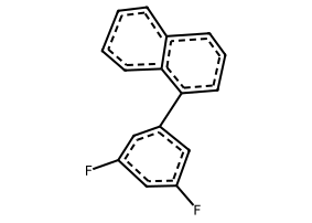 Fc1cc(F)cc(-c2cccc3ccccc23)c1